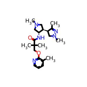 CC1=NN(C)CC1[C@@H]1CN(C)C[C@H]1NC(=O)C(C)(C)COc1ncccc1C